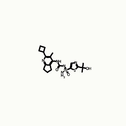 Cc1c(C2CCC2)nc2c(c1NC(=O)N=[S@](N)(=O)c1cnc(C(C)(C)O)s1)CCC2